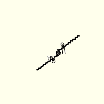 CCCCCCCCCCCCCC(=O)NCCCN1CCN(CCCNC(=O)CCCCCCCCCCCCC)CC1